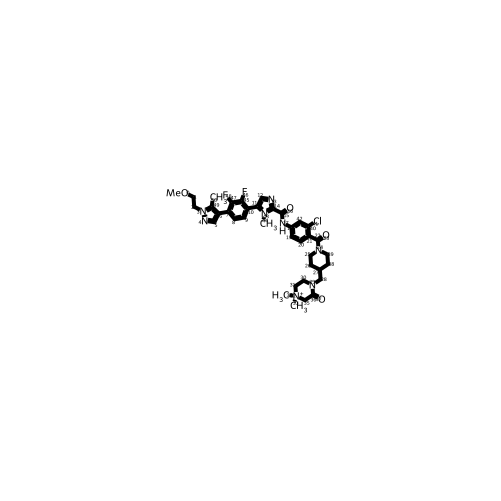 COCCn1ncc(-c2ccc(-c3cnc(C(=O)Nc4ccc(C(=O)N5CCC(CN6CC[N+](C)(C)CC6=O)CC5)c(Cl)c4)n3C)c(F)c2F)c1C